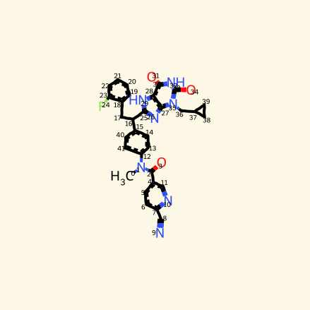 CN(C(=O)c1ccc(C#N)nc1)c1ccc(C(Cc2ccccc2F)c2nc3c([nH]2)c(=O)[nH]c(=O)n3CC2CC2)cc1